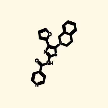 O=C(Nc1nc(-c2ccco2)c(N2CCc3ccccc3C2)s1)c1ccncc1